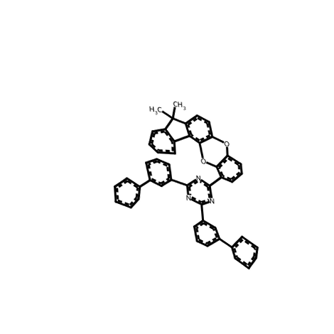 CC1(C)c2ccccc2-c2c1ccc1c2Oc2c(cccc2-c2nc(-c3cccc(-c4ccccc4)c3)nc(-c3cccc(-c4ccccc4)c3)n2)O1